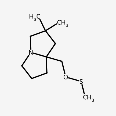 CSOCC12CCCN1CC(C)(C)C2